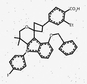 CCc1cc(C2CC3(C2)OCC(C)(C)c2c3c3c(OCc4ccccc4)cccc3n2-c2ccc(F)cc2)ccc1C(=O)O